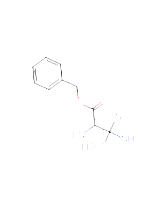 CC(=O)C(N)(C(=O)O)C(N)C(=O)OCc1ccccc1